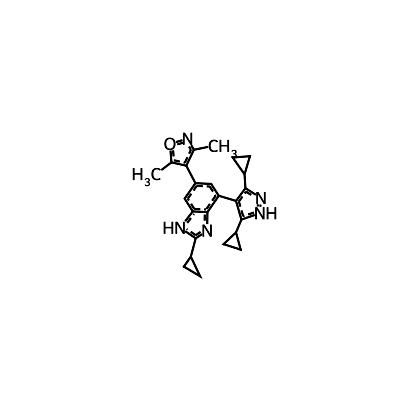 Cc1noc(C)c1-c1cc(-c2c(C3CC3)n[nH]c2C2CC2)c2nc(C3CC3)[nH]c2c1